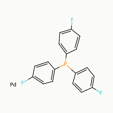 Fc1ccc(P(c2ccc(F)cc2)c2ccc(F)cc2)cc1.[Pd]